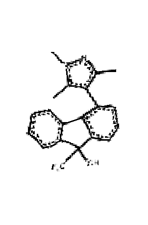 Cc1nn(C)c(C)c1-c1cccc2c1-c1ccccc1C2(O)C(F)(F)F